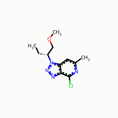 CC[C@H](COC)n1nnc2c(Cl)nc(C)cc21